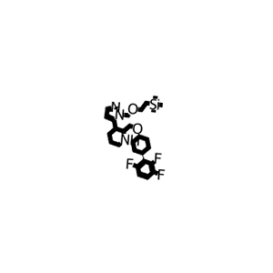 C[Si](C)(C)CCOCn1nccc1C1CCCNC1CO[C@H]1CC[C@@H](c2c(F)ccc(F)c2F)CC1